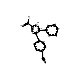 N#Cc1ccc(-c2sc(C(N)=O)nc2-c2ccccc2)cc1